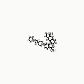 O=C(O)c1ccc(N2CCC3(CC2)CC(N2CCCC2)C3)cc1N1CCOc2nc3[nH]ccc3cc21